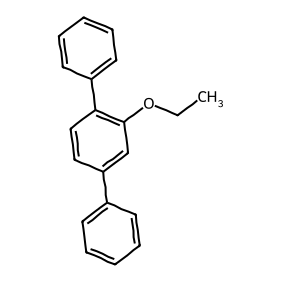 CCOc1cc(-c2ccccc2)ccc1-c1ccccc1